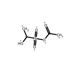 [CH2]C(O)S(=O)(=O)OC(C)=O